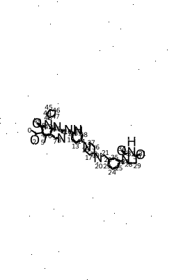 CC(=O)c1c(C)c2cnc(Nc3ccc(N4CCC(N(C)Cc5cccc(N6CCC(=O)NC6=O)c5)CC4)cn3)nc2n(C2CCCC2)c1=O